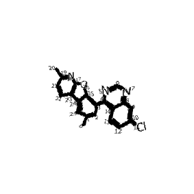 Cc1cc(-c2ncnc3cc(Cl)ccc23)c2oc3nc(C)ccc3c2c1